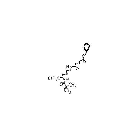 C=C(C)C(=O)NC(CCCCNC(=O)CCCC(=O)OCc1ccccc1)C(=O)OCC